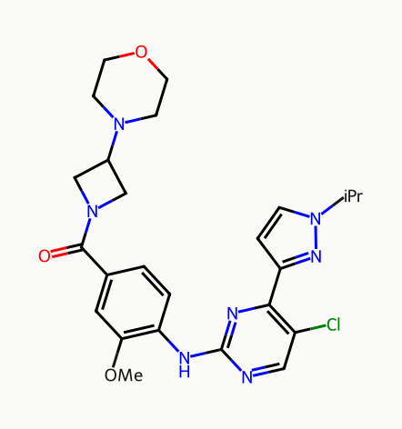 COc1cc(C(=O)N2CC(N3CCOCC3)C2)ccc1Nc1ncc(Cl)c(-c2ccn(C(C)C)n2)n1